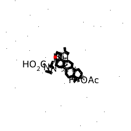 C=C(C)[C@@H]1CC[C@]2(Cc3nccn3C(=O)O)CC[C@]3(C)[C@H](CCC4[C@@]5(C)CC[C@H](OC(C)=O)C(C)(C)[C@@H]5CC[C@]43C)[C@@H]12